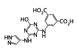 O=C(O)c1cc(Nc2nc(O)nc(Nc3cn[nH]c3)n2)cc(C(=O)O)c1